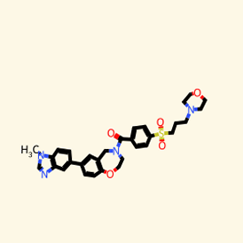 Cn1cnc2cc(-c3ccc4c(c3)CN(C(=O)c3ccc(S(=O)(=O)CCCN5CCOCC5)cc3)CCO4)ccc21